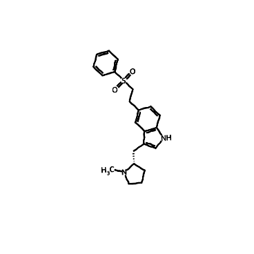 CN1CCC[C@H]1Cc1c[nH]c2ccc(CCS(=O)(=O)c3ccccc3)cc12